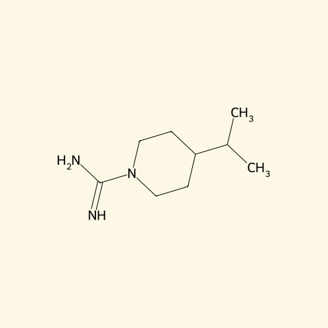 CC(C)C1CCN(C(=N)N)CC1